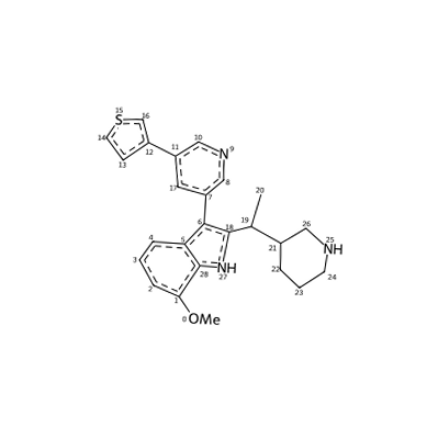 COc1cccc2c(-c3cncc(-c4ccsc4)c3)c(C(C)C3CCCNC3)[nH]c12